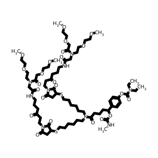 CCN(CC)C(=O)Oc1ccc(C(CCCC(=O)N(CCCCCCSC2CC(=O)N(CCC(=O)CCCNC(=O)CN(CCOCCOC)C(=O)COCCOC)C2=O)CCCCCCSC2CC(=O)N(CCC(=O)CCCNC(=O)CN(CCOCCOC)C(=O)COCCOC)C2=O)OC(=O)NC)cc1